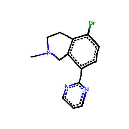 CN1CCc2c(Br)ccc(-c3ncccn3)c2C1